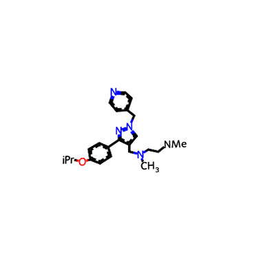 CNCCN(C)Cc1cn(Cc2ccncc2)nc1-c1ccc(OC(C)C)cc1